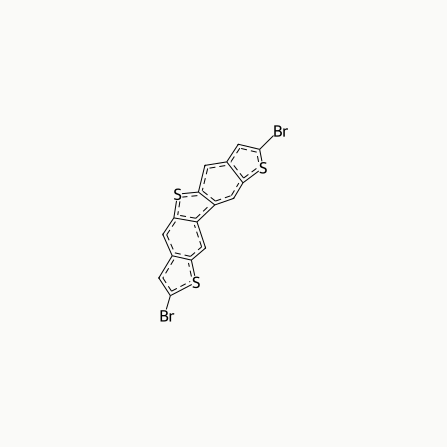 Brc1cc2cc3sc4cc5cc(Br)sc5cc4c3cc2s1